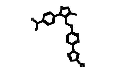 Cc1cnn(-c2ccc(C(F)F)cc2)c1COc1ccc(-n2cc(C#N)cn2)nn1